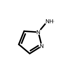 [NH]n1cccn1